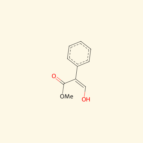 COC(=O)/C(=C\O)c1ccccc1